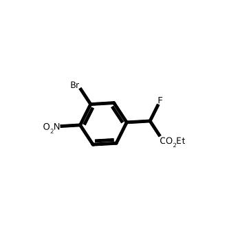 CCOC(=O)C(F)c1ccc([N+](=O)[O-])c(Br)c1